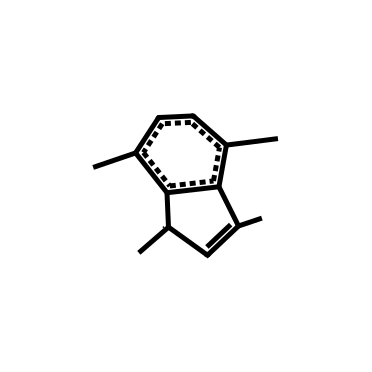 C[C]1C=C(C)c2c(C)ccc(C)c21